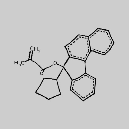 C=C(C)C(=O)OC1(C2CCCC2)c2ccccc2-c2c1ccc1ccccc21